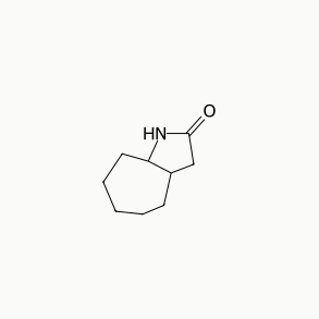 O=C1CC2CCCCCC2N1